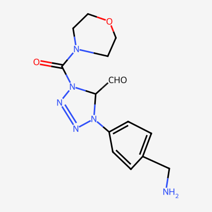 NCc1ccc(N2N=NN(C(=O)N3CCOCC3)C2C=O)cc1